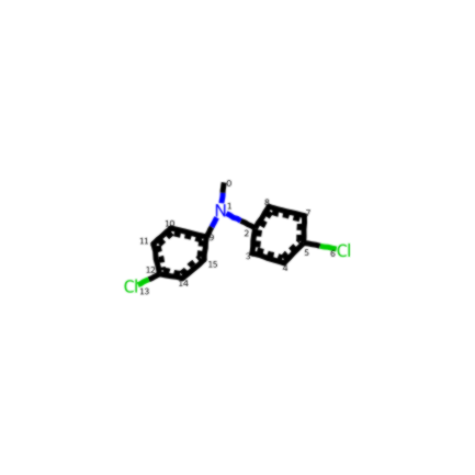 CN(c1ccc(Cl)cc1)c1ccc(Cl)cc1